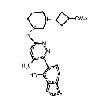 COC1CC(N2CCC[C@@H](Nc3cc(C)c(-c4ccc5sccc5c4O)nn3)C2)C1